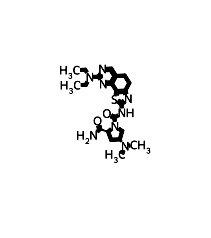 CCN(CC)c1ncc2c(n1)-c1sc(NC(=O)N3C[C@@H](N(C)C)C[C@H]3C(N)=O)nc1CC2